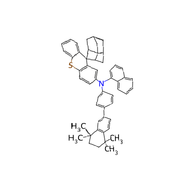 CC1(C)CCC(C)(C)c2cc(-c3ccc(N(c4ccc5c(c4)C4(c6ccccc6S5)C5CC6CC7CC4C75C6)c4cccc5ccccc45)cc3)ccc21